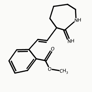 COC(=O)c1ccccc1C=CC1CCCCNC1=N